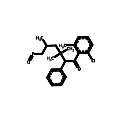 Cc1cccc(Cl)c1C(=O)C(c1ccccc1)C(C)(C)CC(C)CP=O